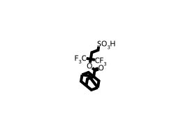 O=C(OC(CCS(=O)(=O)O)(C(F)(F)F)C(F)(F)F)C12CC3CC(CC(C3)C1)C2